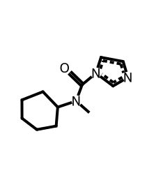 CN(C(=O)n1ccnc1)C1CCCCC1